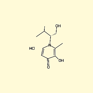 Cc1c(O)c(=O)ccn1[C@@H](CO)C(C)C.Cl